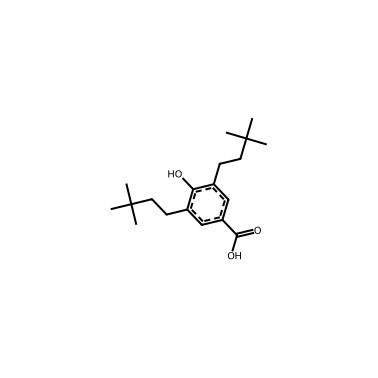 CC(C)(C)CCc1cc(C(=O)O)cc(CCC(C)(C)C)c1O